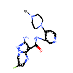 CCN1CCN(c2ccncc2NC(=O)c2c(N)nn3cc(F)cnc23)CC1